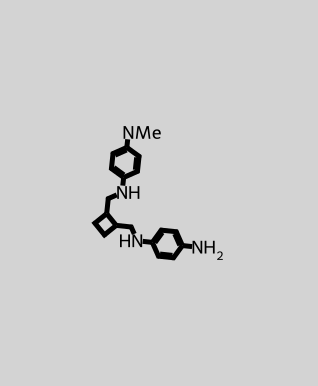 CNc1ccc(NCC2CCC2CNc2ccc(N)cc2)cc1